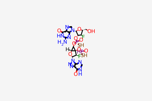 Nc1nc2c(ncn2[C@@H]2O[C@H](CO)[C@@H](F)[C@H]2OP(=O)(S)OC2[C@H]3O[C@@H](n4nnc5c(=O)[nH]cnc54)[C@H](F)[C@@]23O[PH](=O)S)c(=O)[nH]1